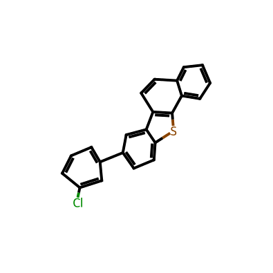 Clc1cccc(-c2ccc3sc4c5ccccc5ccc4c3c2)c1